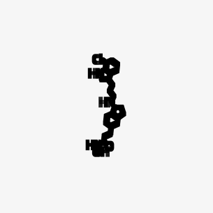 O=C(C=Cc1ccc2c(c1)CCC2NCCCc1c[nH]c2c(Cl)cccc12)NO